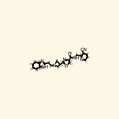 N#Cc1cccnc1CNC(=O)c1coc(C2CN(CCc3nc4ccccc4[nH]3)C2)n1